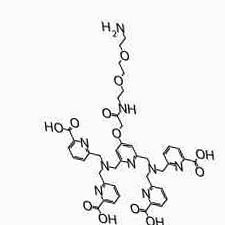 NCCOCCOCCNC(=O)COc1cc(CN(Cc2cccc(C(=O)O)n2)Cc2cccc(C(=O)O)n2)nc(CN(Cc2cccc(C(=O)O)n2)Cc2cccc(C(=O)O)n2)c1